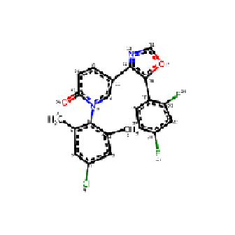 Cc1cc(Cl)cc(C)c1-n1cc(-c2ncoc2-c2ccc(F)cc2F)ccc1=O